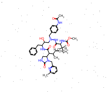 CCC(C)C(C(=O)NC(Cc1ccccc1)C(O)CN(Cc1ccc(NC(C)=O)cc1)NC(=O)C(NC(=O)OC)C(C)(C)C)C1CNC(=O)N1Cc1cccc(C)n1